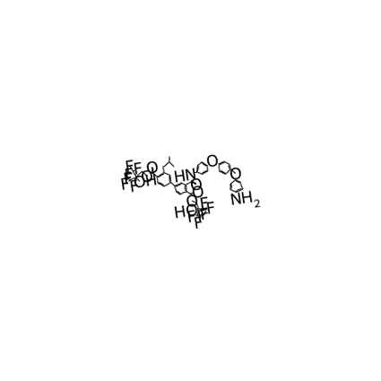 CC(C)Cc1cc(-c2ccc(C(=O)OCC(O)(C(F)(F)F)C(F)(F)F)c(C(=O)Nc3ccc(Oc4ccc(Oc5ccc(N)cc5)cc4)cc3)c2)ccc1C(=O)OCC(O)(C(F)(F)F)C(F)(F)F